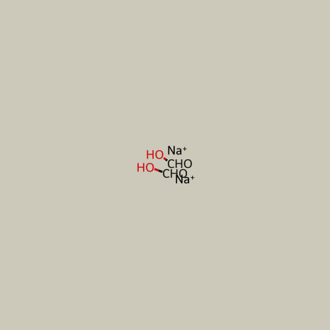 O=[C-]O.O=[C-]O.[Na+].[Na+]